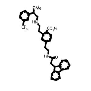 COC(CNCCc1cc(CCNC(=O)CC2c3ccccc3-c3ccccc32)ccc1C(=O)O)c1cccc(C(F)(F)F)c1